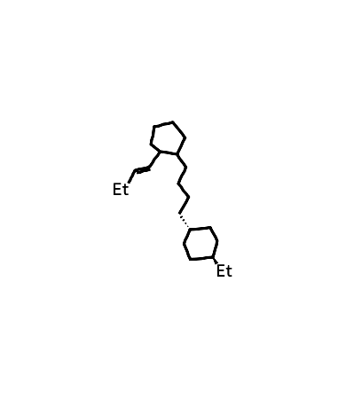 CCC=CC1CCCCC1CCCC[C@H]1CC[C@H](CC)CC1